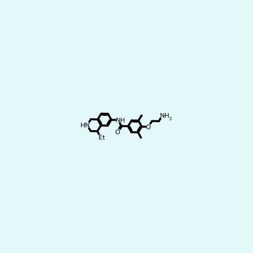 CCC1CNCc2ccc(NC(=O)c3cc(C)c(OCCN)c(C)c3)cc21